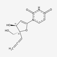 C=C=C[C@]1(CO)OC(n2ccc(=O)[nH]c2=O)=C[C@@H]1O